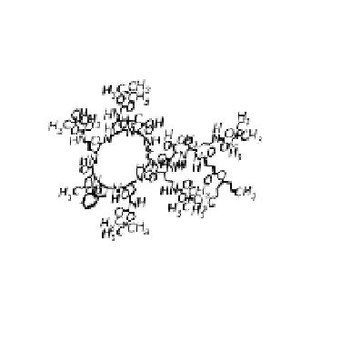 CCCC(CCC)OC(=O)CCC(=O)N[C@@H](CCNC(=O)OC(C)(C)C)C(=O)N[C@H](C(=O)N[C@@H](CCNC(=O)OC(C)(C)C)C(=O)N[C@H]1CCNC(=O)[C@H](C(C)O)NC(=O)[C@H](CCNC(=O)OC(C)(C)C)NC(=O)[C@H](CCNC(=O)OC(C)(C)C)NC(=O)[C@H](CC(C)C)NC(=O)[C@@H](Cc2ccccc2)NC(=O)[C@H](CCNC(=O)OC(C)(C)C)NC1=O)C(C)O